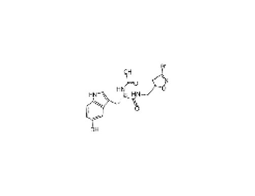 O=C(O)N[C@@H](Cc1c[nH]c2ccc(O)cc12)C(=O)NCC1CC(Br)=NO1